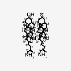 C=C(CN)CCC1O[C@H]2C[C@H]3[C@@H]4CCC5CC(=O)CC[C@]5(C)[C@H]4CC[C@]3(C)[C@H]2[C@@H]1C.C=C(CN)CCC1O[C@H]2C[C@H]3[C@@H]4CCC5CC(O)CC[C@]5(C)[C@H]4CC[C@]3(C)[C@H]2[C@@H]1C